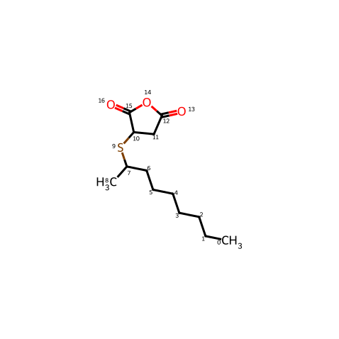 CCCCCCCC(C)SC1CC(=O)OC1=O